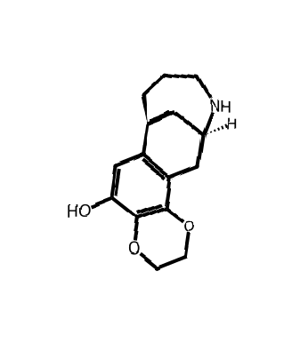 Oc1cc2c(c3c1OCCO3)C[C@@H]1NCCC[C@]23CCCCC13